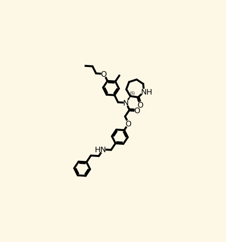 CCCOc1ccc(CN(C(=O)COc2ccc(CNCCc3ccccc3)cc2)[C@H]2CCCCNC2=O)cc1C